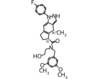 COc1cc(CN(CCO)C(=O)[C@H]2CCC3=C2[C@@H](C)C2=CNN(c4ccc(F)cc4)C2=C3)cc(OC)c1